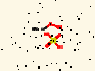 CCOO.O=S(=O)(O)O.[NaH]